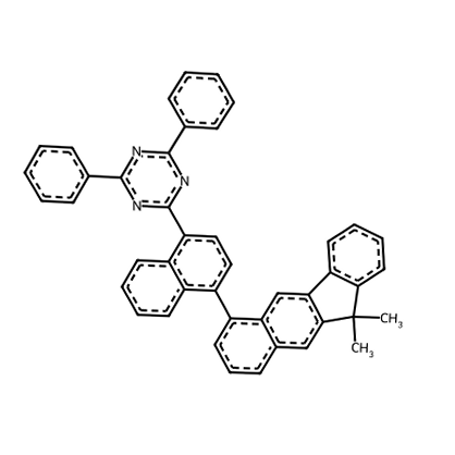 CC1(C)c2ccccc2-c2cc3c(-c4ccc(-c5nc(-c6ccccc6)nc(-c6ccccc6)n5)c5ccccc45)cccc3cc21